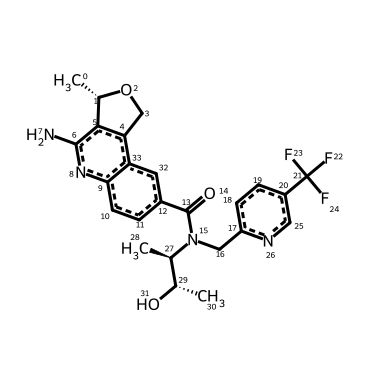 C[C@@H]1OCc2c1c(N)nc1ccc(C(=O)N(Cc3ccc(C(F)(F)F)cn3)[C@H](C)[C@H](C)O)cc21